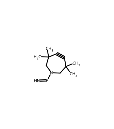 CC1(C)C#CC(C)(C)CN(P=N)C1